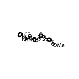 COOSc1ccc(-c2cc3nccc(Oc4ccc(NC(=O)c5cnn(-c6ccccc6)c5C(F)(F)F)cc4F)c3s2)cc1